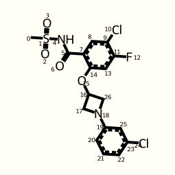 CS(=O)(=O)NC(=O)c1cc(Cl)c(F)cc1OC1CN(c2cccc(Cl)c2)C1